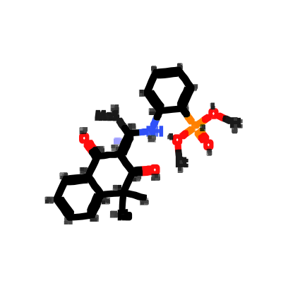 CCOP(=O)(OCC)c1ccccc1N/C(SC)=C1/C(=O)c2ccccc2[C](C)([Rb])C1=O